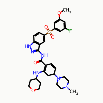 COc1cc(F)cc(S(=O)(=O)c2ccc3[nH]nc(NC(=O)C4=C(NC5CCOCC5)CC(N5CCN(C)CC5)C=C4)c3c2)c1